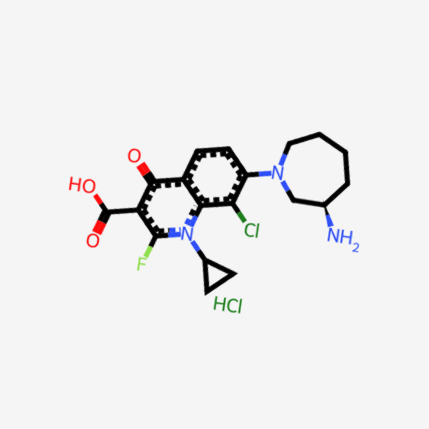 Cl.N[C@@H]1CCCCN(c2ccc3c(=O)c(C(=O)O)c(F)n(C4CC4)c3c2Cl)C1